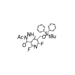 CC(=O)N(N)C(=O)c1cc(CO[Si](c2ccccc2)(c2ccccc2)C(C)(C)C)c(F)nc1F